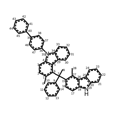 Cc1ccc2c(c1C(C)(c1ccccc1)c1ccc3[nH]c4ccccc4c3c1C)c1ccccc1n2-c1ccc(-c2ccccc2)cc1